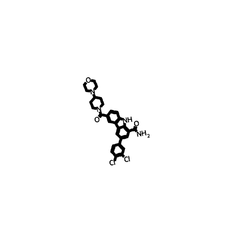 NC(=O)c1cc(-c2ccc(Cl)c(Cl)c2)cc2c1[nH]c1ccc(C(=O)N3CCC(N4CCOCC4)CC3)cc12